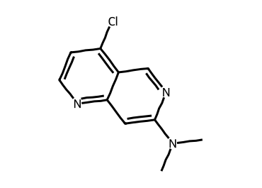 CN(C)c1cc2nccc(Cl)c2cn1